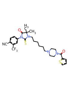 CC1(C)C(=O)N(c2ccc(C#N)c(C(F)(F)F)c2)C(=S)N1CCCCCCN1CCN(C(=O)c2cccs2)CC1